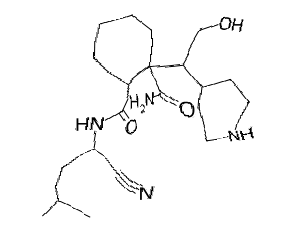 CC(C)CC(C#N)NC(=O)C1CCCCC1(C(N)=O)C(CO)C1CCNCC1